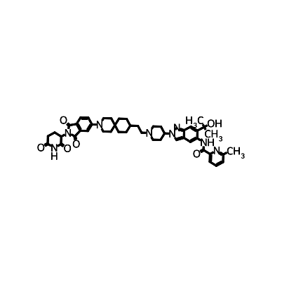 Cc1cccc(C(=O)Nc2cc3cn(C4CCN(CCC5CCC6(CC5)CCN(c5ccc7c(c5)C(=O)N(C5CCC(=O)NC5=O)C7=O)CC6)CC4)nc3cc2C(C)(C)O)n1